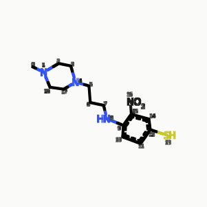 CN1CCN(CCCNc2ccc(S)cc2[N+](=O)[O-])CC1